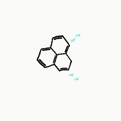 C1=Cc2cccc3cccc(c23)C1.F.F.F.F